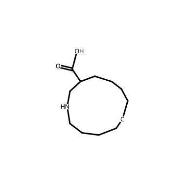 O=C(O)C1CCCCCCCCCNC1